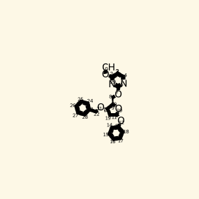 COc1ccnc(OC[C@H]2OC(Oc3ccccc3)C[C@@H]2OCc2ccccc2)n1